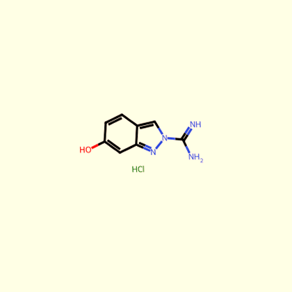 Cl.N=C(N)n1cc2ccc(O)cc2n1